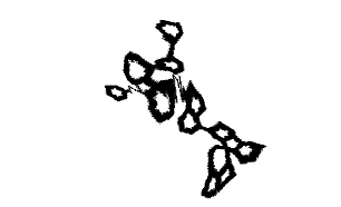 c1ccc(-n2c3ccccc3c3c(N(c4ccc(C5CCCCC5)cc4)c4cccc5c(-c6ccc7c(c6)C6(CCC8CC9CC6C89)c6ccccc6-7)cccc45)cccc32)cc1